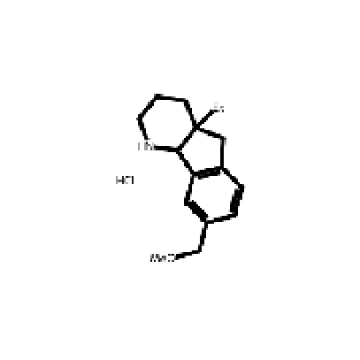 CCC12CCCNC1c1cc(COC)ccc1C2.Cl